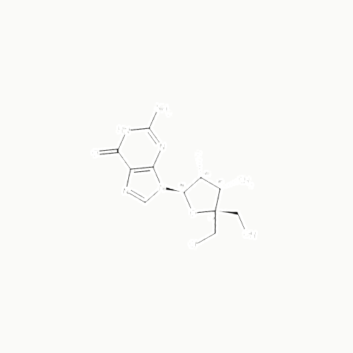 C[C@H]1[C@@H](F)[C@H](n2cnc3c(=O)[nH]c(N)nc32)O[C@@]1(CO)CCl